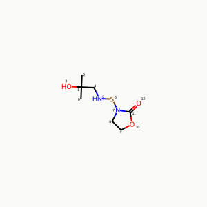 CC(C)(O)CNSN1CCOC1=O